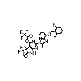 Cc1nc2c(OCc3c(F)cccc3F)cccn2c1-c1nc2c(c(OC(=O)C(F)(F)F)n1)C(C)(C(F)(F)F)C(=O)N2